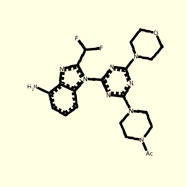 CC(=O)N1CCN(c2nc(N3CCOCC3)nc(-n3c(C(F)F)nc4c(N)cccc43)n2)CC1